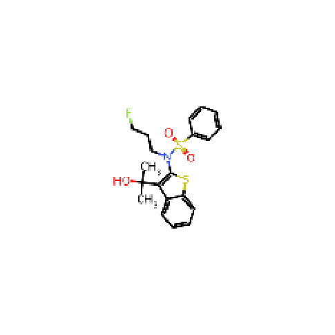 CC(C)(O)c1c(N(CCCF)S(=O)(=O)c2ccccc2)sc2ccccc12